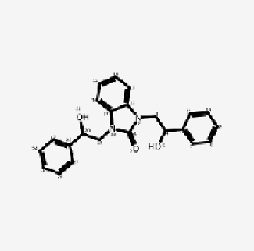 O=c1n(CC(O)c2ccccc2)c2ccccc2n1CC(O)c1ccccc1